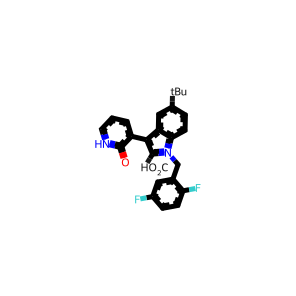 CC(C)(C)c1ccc2c(c1)c(-c1ccc[nH]c1=O)c(C(=O)O)n2Cc1cc(F)ccc1F